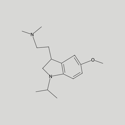 COc1ccc2c(c1)C(CCN(C)C)CN2C(C)C